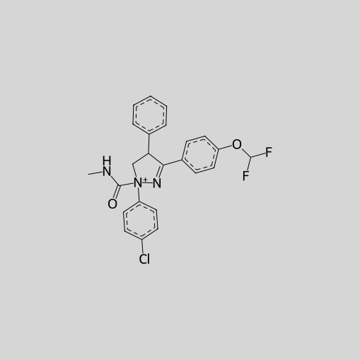 CNC(=O)[N+]1(c2ccc(Cl)cc2)CC(c2ccccc2)C(c2ccc(OC(F)F)cc2)=N1